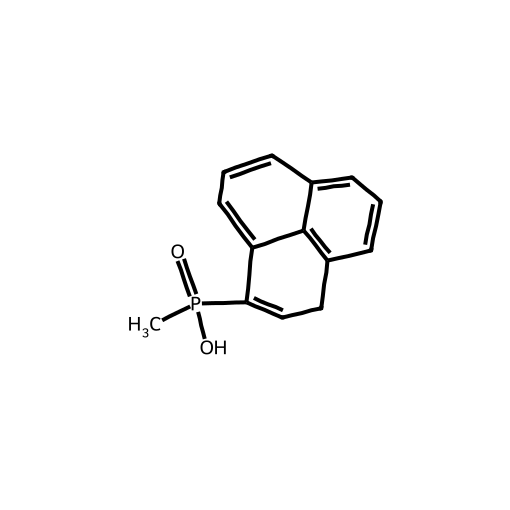 CP(=O)(O)C1=CCc2cccc3cccc1c23